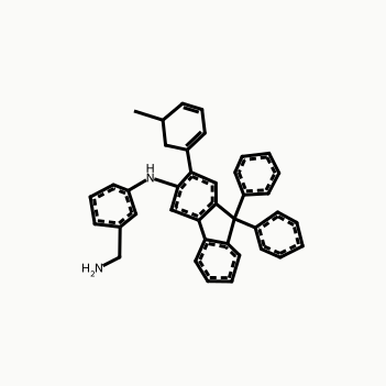 CC1C=CC=C(c2cc3c(cc2Nc2cccc(CN)c2)-c2ccccc2C3(c2ccccc2)c2ccccc2)C1